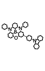 c1ccc(N2c3cccc4c3B3c5c(cc(-c6ccc(-n7c8ccccc8c8ccccc87)cc6)cc5N(c5ccccc5)c5cccc2c53)O4)cc1